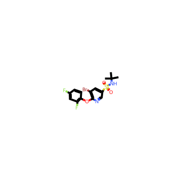 CC(C)(C)NS(=O)(=O)c1cnc(Oc2ccc(F)cc2F)c(Br)c1